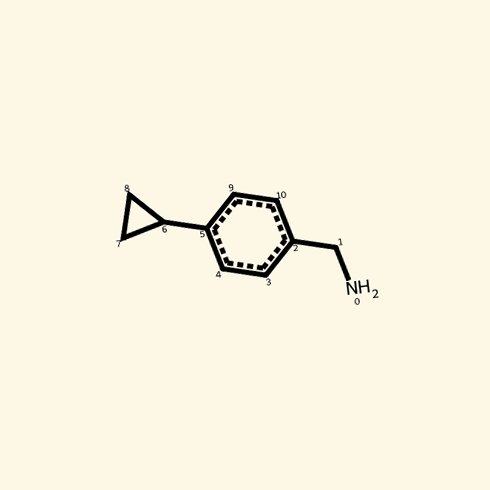 NCc1ccc(C2CC2)cc1